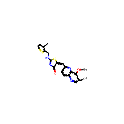 Cc1ccsc1CNC1=NC(=O)/C(=C\c2ccc3ncc(C#N)c(OC(C)C)c3n2)S1